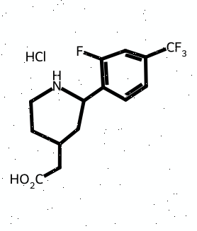 Cl.O=C(O)CC1CCNC(c2ccc(C(F)(F)F)cc2F)C1